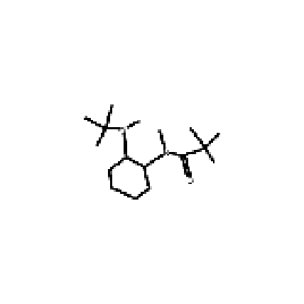 CN(C(=O)C(C)(C)C)C1CCCCC1N(C)C(C)(C)C